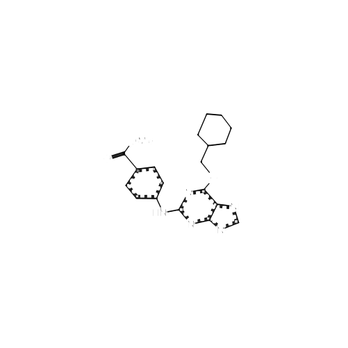 COC(=O)c1ccc(Nc2nc(OCC3CCCCC3)c3[nH]cnc3n2)cc1